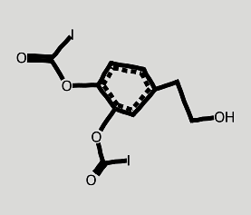 O=C(I)Oc1ccc(CCO)cc1OC(=O)I